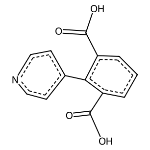 O=C(O)c1cccc(C(=O)O)c1-c1ccncc1